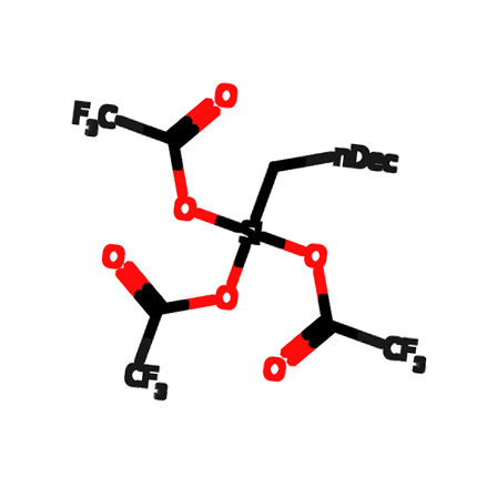 CCCCCCCCCCC[Si](OC(=O)C(F)(F)F)(OC(=O)C(F)(F)F)OC(=O)C(F)(F)F